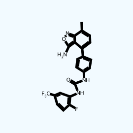 Cc1ccc(-c2ccc(NC(=O)Nc3cc(C(F)(F)F)ccc3F)cc2)c2c(N)onc12